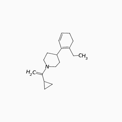 C=C(C1CC1)N1CCC(C2=C(CC)CCC=C2)CC1